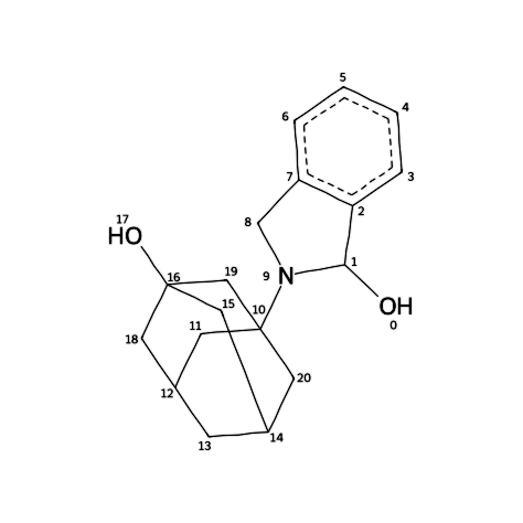 OC1c2ccccc2CN1C12CC3CC(CC(O)(C3)C1)C2